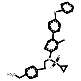 Cc1cc(N(CCc2ccc(CC(=O)O)cc2)S(=O)(=O)C2CC2)ccc1-c1ccc(Oc2ccccc2)cc1